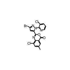 Cc1cc(Cl)c2nc(-c3cc(Br)nn3-c3ncccc3Cl)oc(=O)c2c1